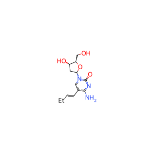 CC/C=C/c1cn([C@H]2C[C@@H](O)[C@@H](CO)O2)c(=O)nc1N